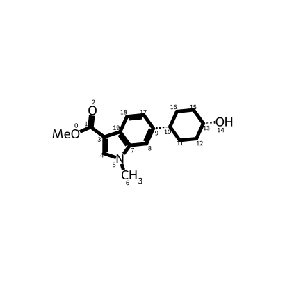 COC(=O)c1cn(C)c2cc([C@H]3CC[C@@H](O)CC3)ccc12